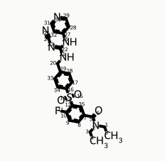 CCN(CC)C(=O)c1ccc(F)c(S(=O)(=O)c2ccc(CNC(=NC#N)Nc3ccncc3)cc2)c1